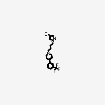 FC(F)(F)c1cccc(C2=CCN(CCCCn3cc(Cl)cn3)CC2)c1